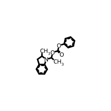 CC1Cc2ccccc2N1C(C)OC(=O)Oc1ccccc1